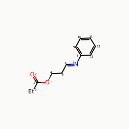 CCC(=O)OCCC=Nc1ccccc1